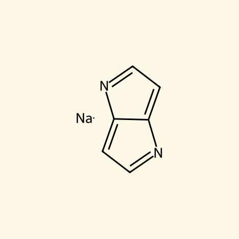 C1=NC2=CC=NC2=C1.[Na]